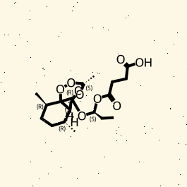 CC[C@H](OC(=O)CCC(=O)O)O[C@@H]1O[C@]2(C)CC[C@H]3[C@H](C)CC[C@@H](C)C13OO2